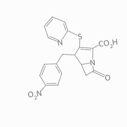 O=C(O)C1=C(Sc2ccccn2)C(Cc2ccc([N+](=O)[O-])cc2)C2CC(=O)N12